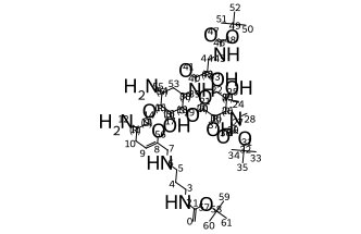 C=C(NCCCNCC1=CC[C@@H](N)[C@@H](O[C@H]2[C@H](O)[C@@H](O[C@H]3OC[C@](C)(O)[C@H](N(C)C(=O)OC(C)(C)C)[C@H]3O)[C@H](NC(=O)[C@H](O)CNC(=O)OC(C)(C)C)C[C@@H]2N)O1)OC(C)(C)C